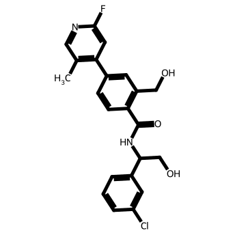 Cc1cnc(F)cc1-c1ccc(C(=O)NC(CO)c2cccc(Cl)c2)c(CO)c1